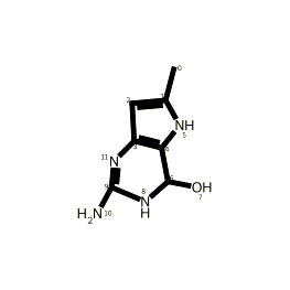 Cc1cc2c([nH]1)C(O)NC(N)=N2